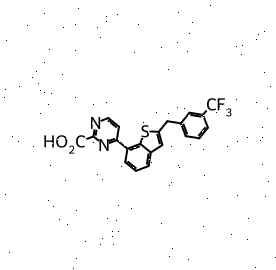 O=C(O)c1nccc(-c2cccc3cc(Cc4cccc(C(F)(F)F)c4)sc23)n1